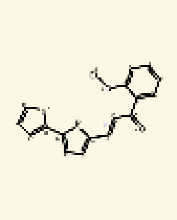 CCOc1ccccc1C(=O)/C=C/c1ccc(-c2cccs2)s1